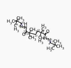 CC(C)(C)/C=N/NC(=O)C(C)(C)CCC(C)(C)C(=O)N/N=C/C(C)(C)C